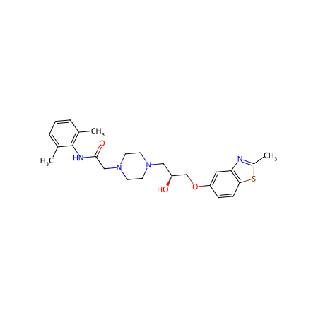 Cc1nc2cc(OC[C@@H](O)CN3CCN(CC(=O)Nc4c(C)cccc4C)CC3)ccc2s1